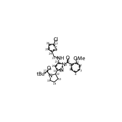 COc1ccccc1C(=O)n1nc(C2CCCN2C(=O)C(C)(C)C)cc1NCc1ccc(Cl)s1